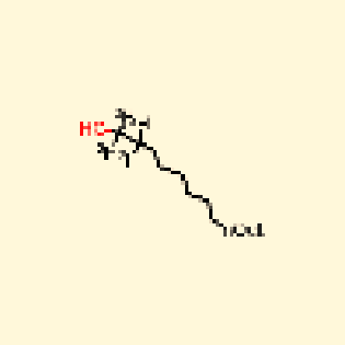 [2H]C([2H])(O)C([2H])([2H])CCCCCCCCCCCCCC